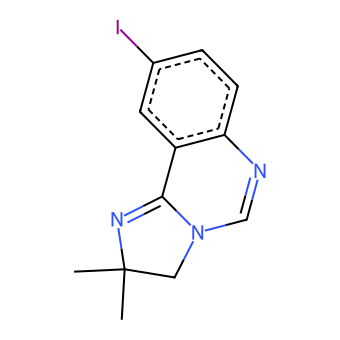 CC1(C)CN2C=Nc3ccc(I)cc3C2=N1